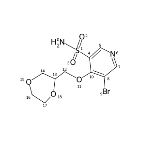 NS(=O)(=O)c1cncc(Br)c1OCC1COCCO1